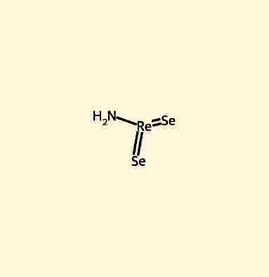 [NH2][Re](=[Se])=[Se]